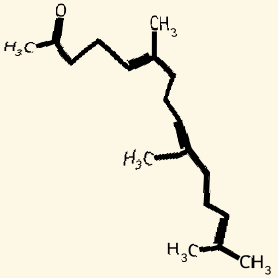 CC(=O)CCC=C(C)CC/C=C(\C)CCC=C(C)C